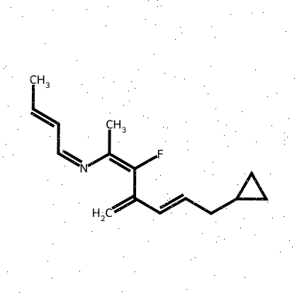 C=C(/C=C/CC1CC1)\C(F)=C(C)/N=C\C=C\C